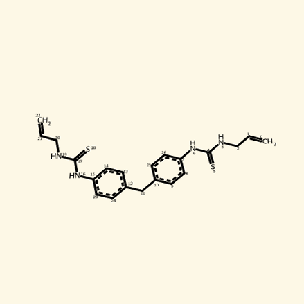 C=CCNC(=S)Nc1ccc(Cc2ccc(NC(=S)NCC=C)cc2)cc1